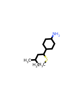 CSC(CC(C)C)C1CCC(N)CC1